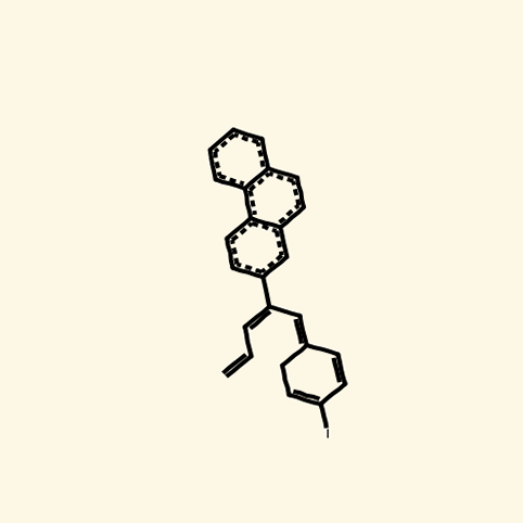 C=C/C=C(\C=C1\C=CC(I)=CC1)c1ccc2c(ccc3ccccc32)c1